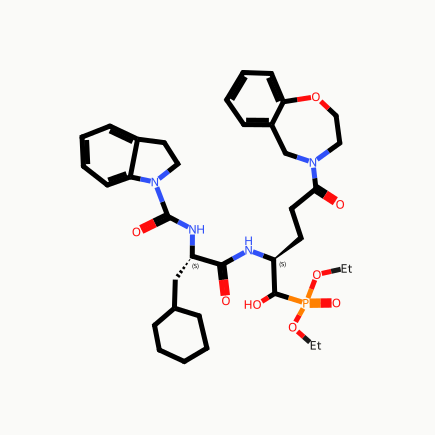 CCOP(=O)(OCC)C(O)[C@H](CCC(=O)N1CCOc2ccccc2C1)NC(=O)[C@H](CC1CCCCC1)NC(=O)N1CCc2ccccc21